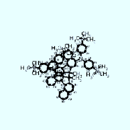 CC1(C2(C)c3ccc4ccccc4c3-c3c2cc(N(c2ccc([Si](C)(C)C)cc2)c2ccc([Si](C)(C)C)cc2)c2ccccc32)c2ccc3ccccc3c2-c2c1cc(N(c1ccc([Si](C)(C)C)cc1)c1ccc([Si](C)(C)C)cc1)c1ccccc21